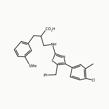 CSc1cccc(CC(CNc2nc(-c3ccc(Cl)c(C)c3)c(CC(C)C)s2)C(=O)O)c1